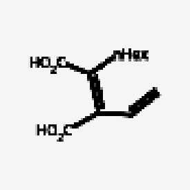 C=CC(C(=O)O)=C(CCCCCC)C(=O)O